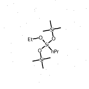 CCC[Si](OCC)(O[Si](C)(C)C)O[Si](C)(C)C